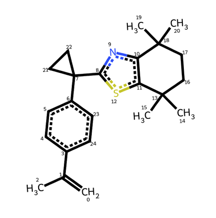 C=C(C)c1ccc(C2(c3nc4c(s3)C(C)(C)CCC4(C)C)CC2)cc1